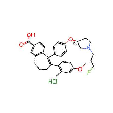 COc1ccc(C2=C(c3ccc(O[C@H]4CCN(CCCF)C4)cc3)c3ccc(C(=O)O)cc3CCC2)c(C)c1.Cl